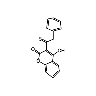 O=c1oc2ccccc2c(O)c1C(=S)Cc1ccccc1